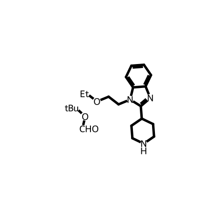 CC(C)(C)OC=O.CCOCCn1c(C2CCNCC2)nc2ccccc21